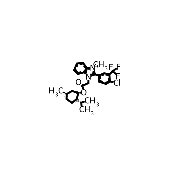 CC(C)[C@@H]1CC[C@@H](C)C[C@H]1OC(=O)Cn1c(-c2ccc(Cl)c(C(F)(F)F)c2)[n+](C)c2ccccc21